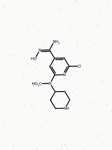 N/C(=N/O)c1cc(Cl)nc(N(C(=O)O)C2CCNCC2)c1